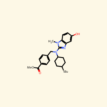 COC(=O)c1ccc(CN(c2nc3cc(O)ccc3n2C)C2CCC(C(C)(C)C)CC2)cc1